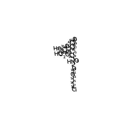 Cc1cc(C(=O)NCCOCCOCCCCCCCl)cc(C(=O)O)c1-c1c2cc(Cl)c(O)cc2oc2c1ccc1cc(=O)ccc12